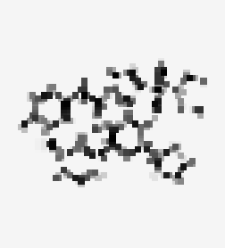 CCN(CC)S(=O)(=O)c1ccc(C(=O)Nc2ccc(C)c(Nc3nccc(-c4cncc(N5CCCC5)c4)n3)c2)o1